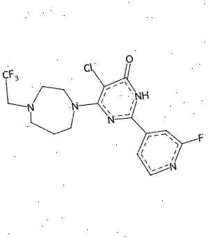 O=c1[nH]c(-c2ccnc(F)c2)nc(N2CCCN(CC(F)(F)F)CC2)c1Cl